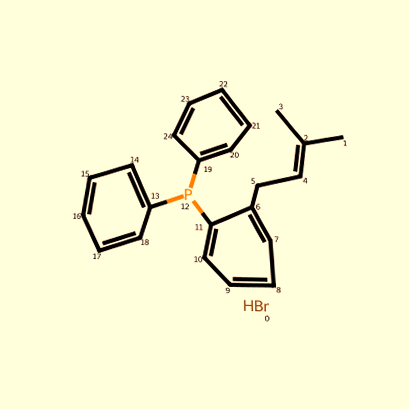 Br.CC(C)=CCc1ccccc1P(c1ccccc1)c1ccccc1